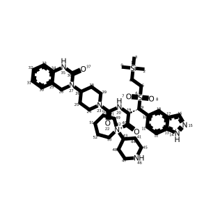 C[Si](C)(C)CCS(=O)(=O)[C@H](c1ccc2[nH]ncc2c1)C(NC(=O)N1CCC(N2Cc3ccccc3NC2=O)CC1)C(=O)[N+]1(C2CCNCC2)CCCCC1